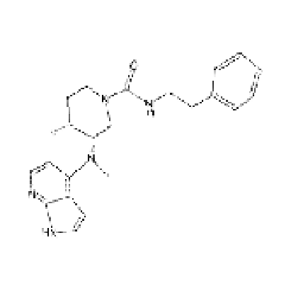 C[C@@H]1CCN(C(=O)NCCc2ccccc2)C[C@@H]1N(C)c1ccnc2[nH]ccc12